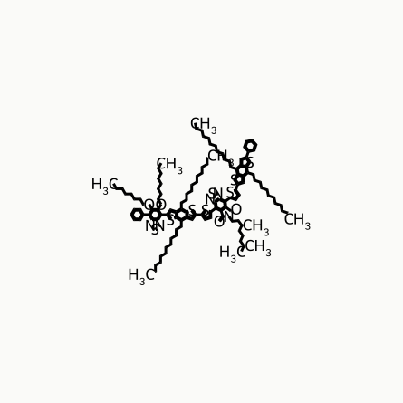 CCCCCCCCCCCCc1c2cc(-c3ccc(-c4c5c(c(-c6ccc(-c7cc8c(CCCCCCCCCCCC)c9sc(-c%10c(OCCCCCCCC)c(OCCCCCCCC)c(-c%11ccccc%11)c%11nsnc%10%11)cc9c(CCCCCCCCCCCC)c8s7)s6)c6nsnc46)C(=O)N(CCC(C)CCCC(C)C)C5=O)s3)sc2c(CCCCCCCCCCCC)c2cc(-c3ccccc3)sc12